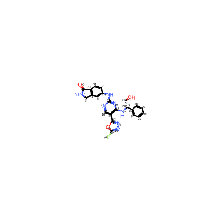 O=C1NCc2cc(Nc3ncc(-c4nnc(F)o4)c(N[C@H](CO)c4ccccc4)n3)ccc21